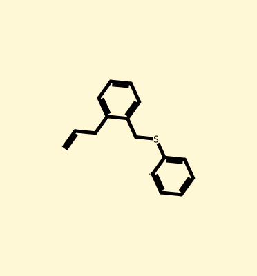 C=CCc1ccccc1CSc1[c]cccc1